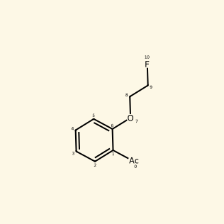 CC(=O)c1ccccc1OCCF